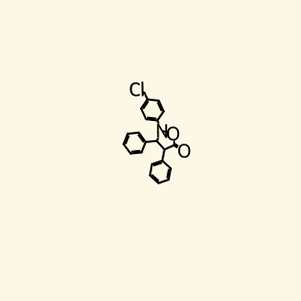 O=C1ON(c2ccc(Cl)cc2)C(c2ccccc2)C1c1ccccc1